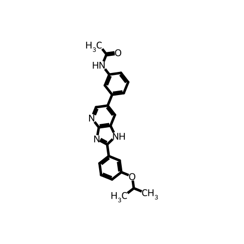 CC(=O)Nc1cccc(-c2cnc3nc(-c4cccc(OC(C)C)c4)[nH]c3c2)c1